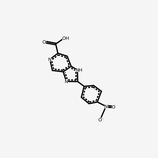 O=C(O)c1cc2[nH]c(-c3ccc([N+](=O)[O-])cc3)nc2cn1